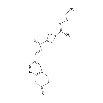 CC(=NOCC(F)(F)F)C1CN(C(=O)C=Cc2cnc3c(c2)CCC(=O)N3)C1